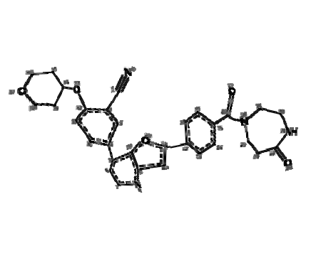 N#Cc1cc(-c2ccnc3cc(-c4ccc(C(=O)N5CCNC(=O)CC5)cc4)oc23)ccc1OC1CCOCC1